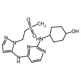 CS(=O)(=O)CCn1nccc1Nc1ccnc(NC2CCC(O)CC2)n1